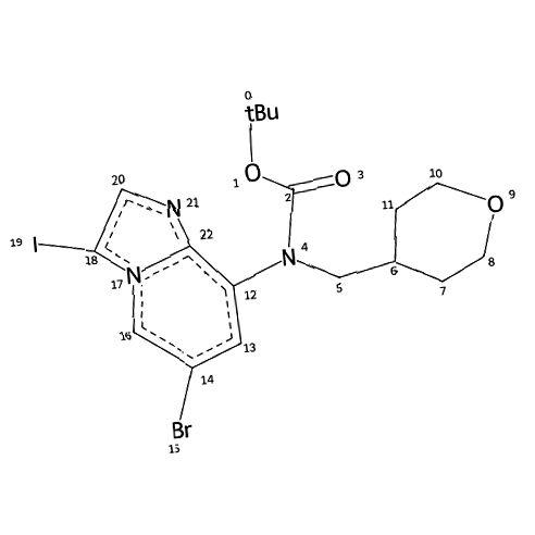 CC(C)(C)OC(=O)N(CC1CCOCC1)c1cc(Br)cn2c(I)cnc12